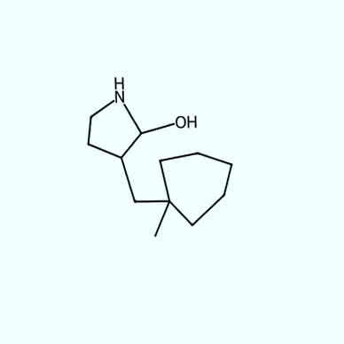 CC1(CC2CCNC2O)CCCCC1